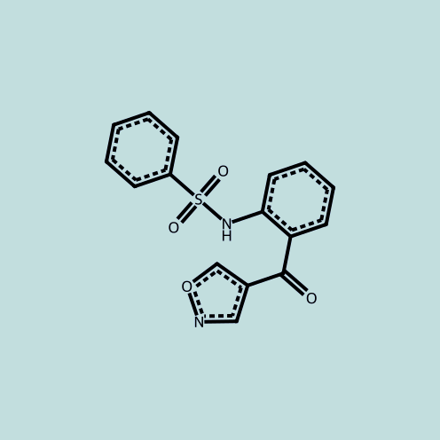 O=C(c1cnoc1)c1ccccc1NS(=O)(=O)c1ccccc1